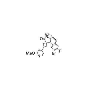 COc1cc(C2CC3(C2)C(=O)N(C)c2cnc4cc(F)c(Br)cc4c23)ccn1